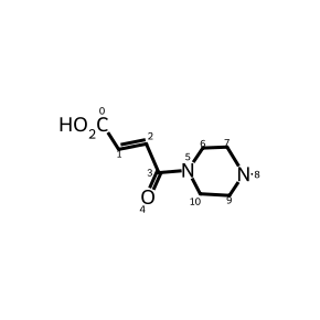 O=C(O)C=CC(=O)N1CC[N]CC1